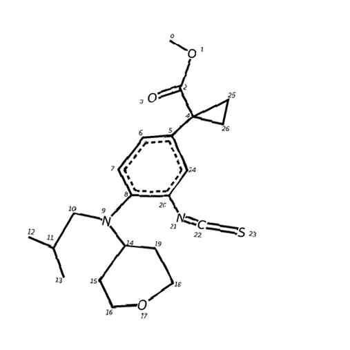 COC(=O)C1(c2ccc(N(CC(C)C)C3CCOCC3)c(N=C=S)c2)CC1